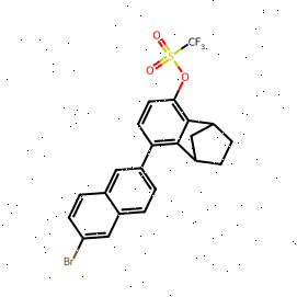 O=S(=O)(Oc1ccc(-c2ccc3cc(Br)ccc3c2)c2c1C1CCC2C1)C(F)(F)F